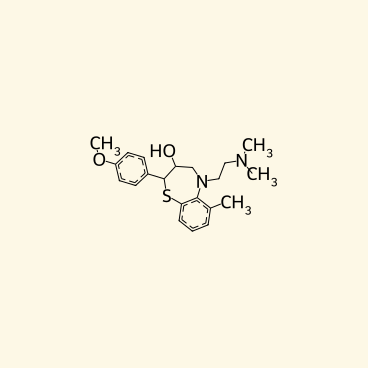 COc1ccc(C2Sc3cccc(C)c3N(CCN(C)C)CC2O)cc1